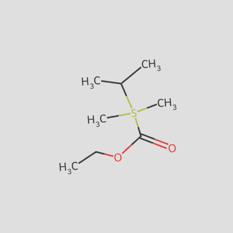 CCOC(=O)S(C)(C)C(C)C